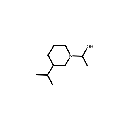 CC(C)C1CCCN(C(C)O)C1